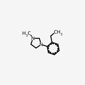 CCc1ccccc1N1CCN(C)C1